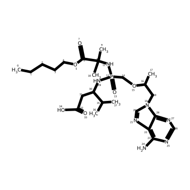 CCCCCOC(=O)C(C)(C)NP(=O)(COC(C)Cn1cnc2c(N)ncnc21)NC(CC(=O)O)C(C)C